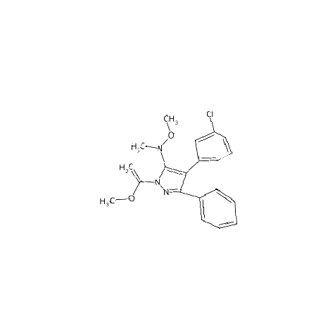 C=C(OC)n1nc(-c2ccccc2)c(-c2cccc(Cl)c2)c1N(C)OC